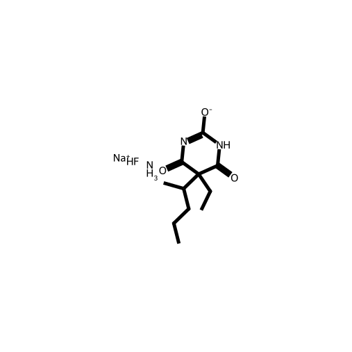 CCCC(C)C1(CC)C(=O)N=C([O-])NC1=O.F.N.[Na+]